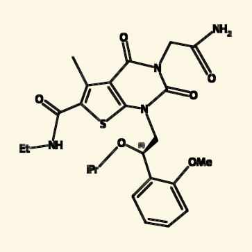 CCNC(=O)c1sc2c(c1C)c(=O)n(CC(N)=O)c(=O)n2C[C@H](OC(C)C)c1ccccc1OC